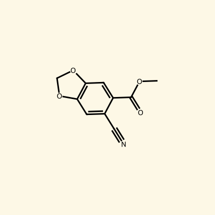 COC(=O)c1cc2c(cc1C#N)OCO2